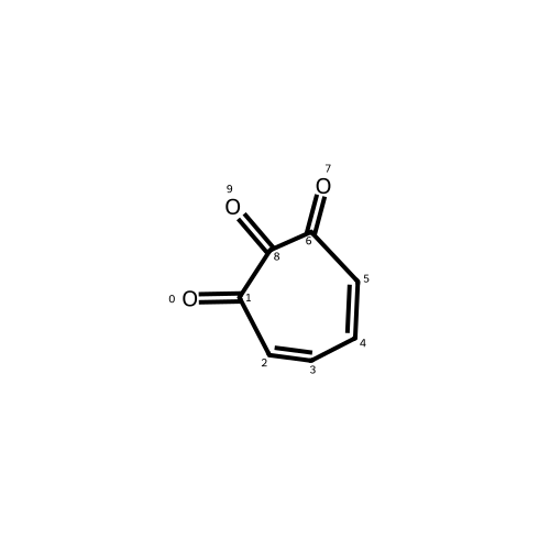 O=C1C=CC=CC(=O)C1=O